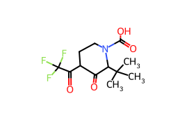 CC(C)(C)C1C(=O)C(C(=O)C(F)(F)F)CCN1C(=O)O